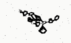 N#Cc1ccc(-c2ccc3c(c2)C2(c4ccccc4Oc4ccccc42)c2cc(-c4nc(-c5ccccc5)cc(-c5ccc(-c6ccccc6)cc5)n4)ccc2-3)cc1